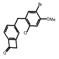 COc1cc(Cl)c(Cc2ccc3c(c2)CC3=O)cc1Br